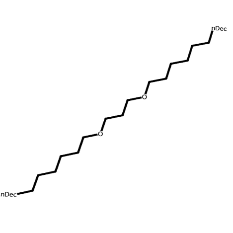 CCCCCCCCCCCCCCCCOCCCOCCCCCCCCCCCCCCCC